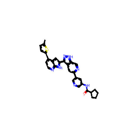 Cc1ccc(-c2ccnc3[nH]c(-c4n[nH]c5cnc(-c6cncc(NC(=O)C7CCCC7)c6)cc45)cc23)s1